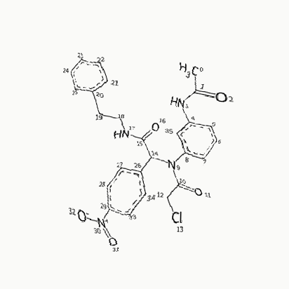 CC(=O)Nc1cccc(N(C(=O)CCl)C(C(=O)NCCc2ccccc2)c2ccc([N+](=O)[O-])cc2)c1